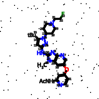 CC(=O)Nc1cc(Oc2cnc3nc(Nc4cc(C(C)(C)C)n(C5CCN(CCF)CC5)n4)n(C)c3c2)ccn1